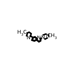 C[C@H]1CCC(c2ccc3ccc(N4CCN(C)CC4)nc3c2)=NC1